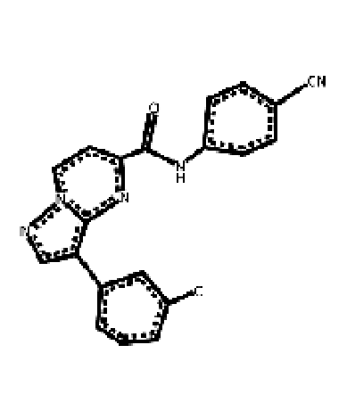 N#Cc1ccc(NC(=O)c2ccn3ncc(-c4cccc(Cl)c4)c3n2)cc1